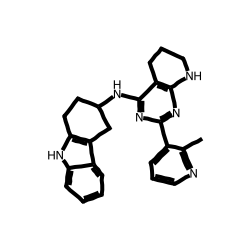 Cc1ncccc1-c1nc2c(c(NC3CCc4[nH]c5ccccc5c4C3)n1)CCCN2